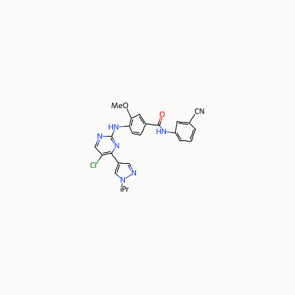 COc1cc(C(=O)Nc2cccc(C#N)c2)ccc1Nc1ncc(Cl)c(-c2cnn(C(C)C)c2)n1